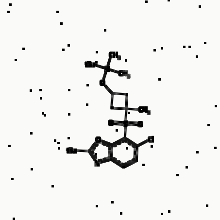 CC(C)(C)c1nc2ccc(Cl)c(S(=O)(=O)C3(C)CC(O[Si](C)(C)C(C)(C)C)C3)c2o1